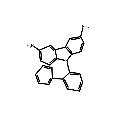 Nc1ccc2c(c1)c1cc(N)ccc1n2-c1ccccc1-c1ccccc1